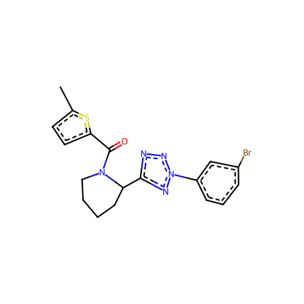 Cc1ccc(C(=O)N2CCCCC2c2nnn(-c3cccc(Br)c3)n2)s1